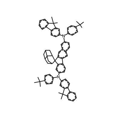 CC(C)(C)c1ccc(N(c2ccc3c(c2)C(C)(C)c2ccccc2-3)c2ccc3c(c2)C2(c4cc5cc(N(c6ccc(C(C)(C)C)cc6)c6ccc7c(c6)C(C)(C)c6ccccc6-7)ccc5cc4-3)C3CC4CC(C3)CC2C4)cc1